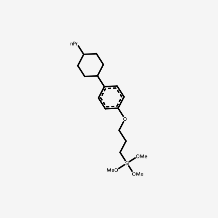 CCCC1CCC(c2ccc(OCCC[Si](OC)(OC)OC)cc2)CC1